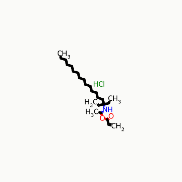 C=CC(=O)OC(C)NC(CC)(CC)CCCCCCCCCCCCCCC.Cl